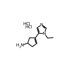 CCn1cncc1C1=CCC(N)C1.Cl.Cl